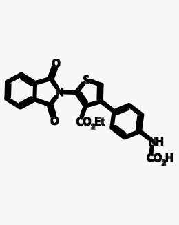 CCOC(=O)c1c(-c2ccc(NC(=O)O)cc2)csc1N1C(=O)c2ccccc2C1=O